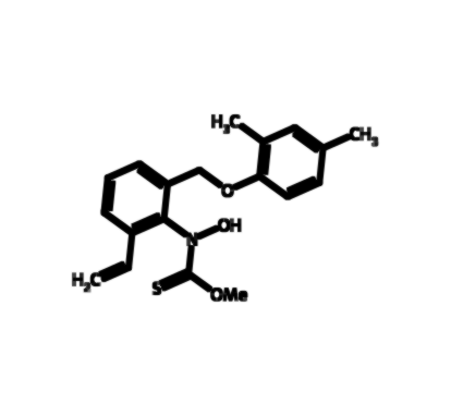 C=Cc1cccc(COc2ccc(C)cc2C)c1N(O)C(=S)OC